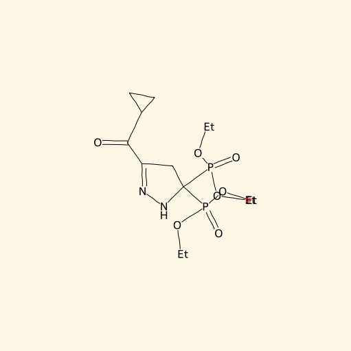 CCOP(=O)(OCC)C1(P(=O)(OCC)OCC)CC(C(=O)C2CC2)=NN1